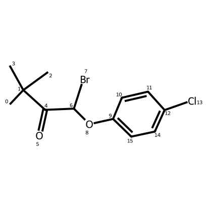 CC(C)(C)C(=O)C(Br)Oc1ccc(Cl)cc1